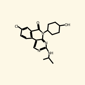 CC(C)Nc1ncc2c3ccc(Cl)cc3c(=O)n(C3CCC(O)CC3)c2n1